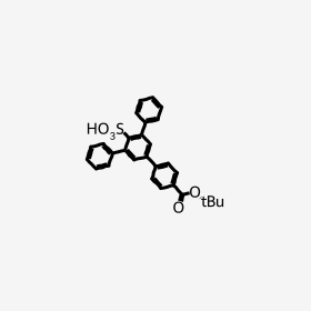 CC(C)(C)OC(=O)c1ccc(-c2cc(-c3ccccc3)c(S(=O)(=O)O)c(-c3ccccc3)c2)cc1